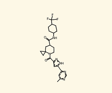 Cc1cc(-c2cc(C(=O)N3CCC(C(=O)NC4CCC(C(F)(F)F)CC4)CC34CC4)n[nH]2)ncn1